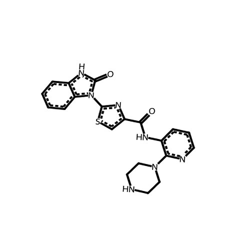 O=C(Nc1cccnc1N1CCNCC1)c1csc(-n2c(=O)[nH]c3ccccc32)n1